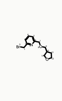 BrCc1cccc(COCC2CCOC2)n1